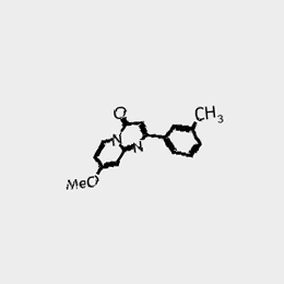 COc1ccn2c(=O)cc(-c3cccc(C)c3)nc2c1